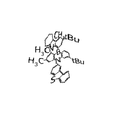 Cc1cc2c3c(c1)N1c4c(cc(C(C)(C)C)cc4C4(C)CCCCC14C)B3c1ccc(C(C)(C)C)cc1N2c1ccc2sc3ccccc3c2c1